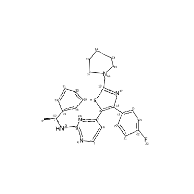 C[C@H](Nc1nccc(-c2sc(N3CCCCC3)nc2-c2ccc(F)cc2)n1)c1ccccc1